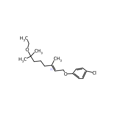 CCOC(C)(C)CCC/C(C)=C/COc1ccc(Cl)cc1